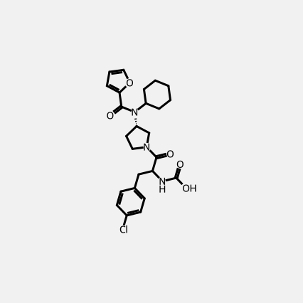 O=C(O)NC(Cc1ccc(Cl)cc1)C(=O)N1CC[C@H](N(C(=O)c2ccco2)C2CCCCC2)C1